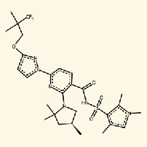 Cc1cn(C)c(C)c1S(=O)(=O)NC(=O)c1ccc(-n2ccc(OCC(C)(C)C(F)(F)F)n2)nc1N1C[C@@H](C)CC1(C)C